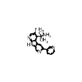 CC(C)(N)c1c(F)cnc2[nH]c3cnc(-c4cccnc4)cc3c12